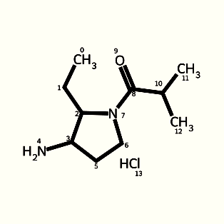 CCC1C(N)CCN1C(=O)C(C)C.Cl